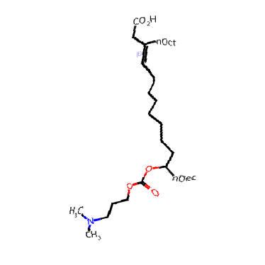 CCCCCCCCCCC(CCCCCCC/C=C(\CCCCCCCC)CC(=O)O)OC(=O)OCCCN(C)C